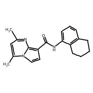 Cc1cc(C)n2ccc(C(=O)Nc3cccc4c3CCCC4)c2n1